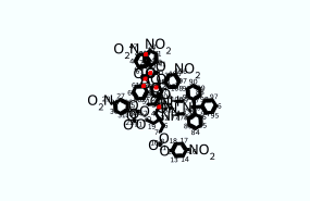 O=C(OCCC(CCOC(=O)Oc1ccc([N+](=O)[O-])cc1)(CCOC(=O)Oc1ccc([N+](=O)[O-])cc1)NP(=O)(NC(CCOC(=O)Oc1ccc([N+](=O)[O-])cc1)(CCOC(=O)Oc1ccc([N+](=O)[O-])cc1)CCOC(=O)Oc1ccc([N+](=O)[O-])cc1)N1CCN(C(c2ccccc2)(c2ccccc2)c2ccccc2)CC1)Oc1ccc([N+](=O)[O-])cc1